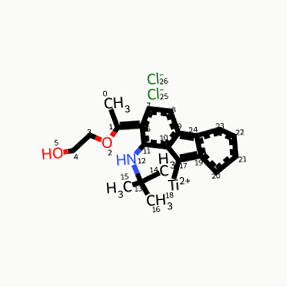 CC(OCCO)=c1ccc2c(c1NC(C)(C)C)[C]([Ti+2])=c1ccccc1=2.[Cl-].[Cl-]